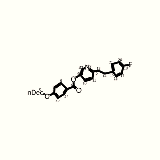 CCCCCCCCCCOc1ccc(C(=O)Oc2ccc(CCc3ccc(F)cc3)nc2)cc1